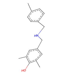 Cc1ccc(CNCc2cc(C)c(O)c(C)c2)cc1